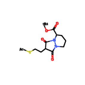 CC(=O)SCCC1C(=O)N2CCCC(C(=O)OC(C)(C)C)N2C1=O